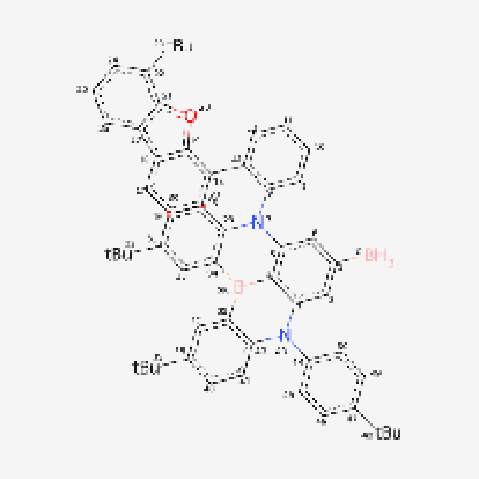 Bc1cc2c3c(c1)N(c1ccccc1-c1cccc4c1oc1c(C(C)(C)C)cccc14)c1ccc(C(C)(C)C)cc1B3c1cc(C(C)(C)C)ccc1N2c1ccc(C(C)(C)C)cc1